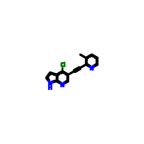 Cc1cccnc1C#Cc1cnc2[nH]ccc2c1Cl